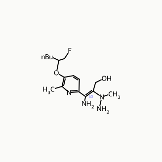 CCCCC(CF)Oc1ccc(/C(N)=C(\CO)N(C)N)nc1C